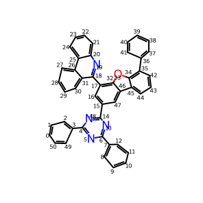 c1ccc(-c2nc(-c3ccccc3)nc(-c3cc(-c4nc5ccccc5c5ccccc45)c4oc5c(-c6ccccc6)cccc5c4c3)n2)cc1